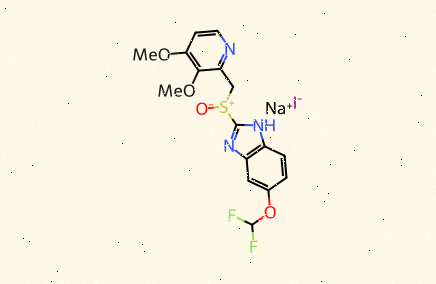 COc1ccnc(C[S+]([O-])c2nc3cc(OC(F)F)ccc3[nH]2)c1OC.[I-].[Na+]